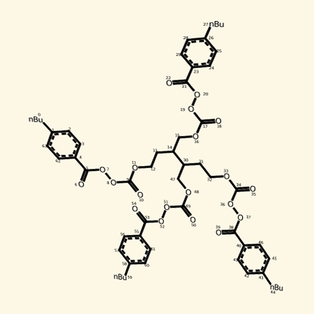 CCCCc1ccc(C(=O)OOC(=O)OCCC(COC(=O)OOC(=O)c2ccc(CCCC)cc2)C(CCOC(=O)OOC(=O)c2ccc(CCCC)cc2)COC(=O)OOC(=O)c2ccc(CCCC)cc2)cc1